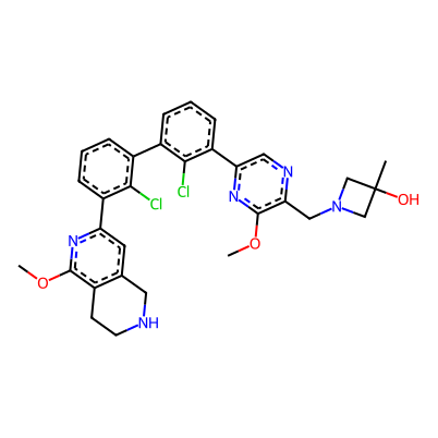 COc1nc(-c2cccc(-c3cccc(-c4cc5c(c(OC)n4)CCNC5)c3Cl)c2Cl)cnc1CN1CC(C)(O)C1